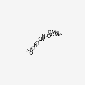 COc1ccc(-c2cn3c(n2)CCC(C2CCN(C4CCN(C(=O)C5CC5)CC4)CC2)C3)cc1OC